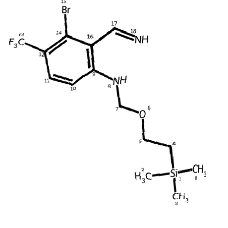 C[Si](C)(C)CCOCNc1ccc(C(F)(F)F)c(Br)c1C=N